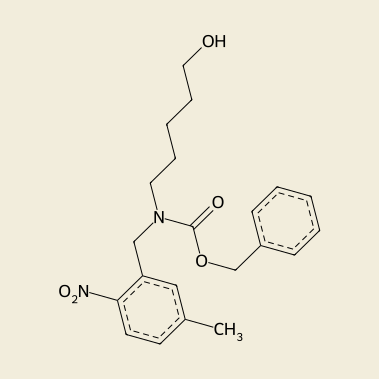 Cc1ccc([N+](=O)[O-])c(CN(CCCCCO)C(=O)OCc2ccccc2)c1